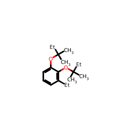 [CH2]Cc1cccc(OC(C)(C)CC)c1OC(C)(C)CC